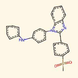 CS(=O)(=O)c1ccc(-c2nc3ccccc3n2-c2ccc(Nc3ccccc3)cc2)cc1